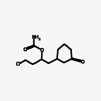 NC(=O)OC(CCCl)CC1CCCC(=O)C1